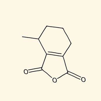 CC1CCCC2=C1C(=O)OC2=O